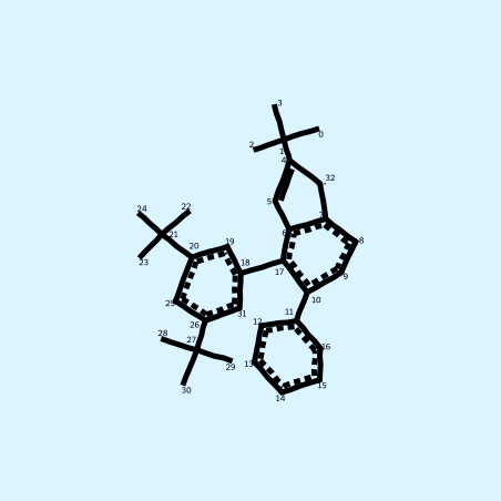 CC(C)(C)C1=Cc2c(ccc(-c3ccccc3)c2-c2cc(C(C)(C)C)cc(C(C)(C)C)c2)[CH]1